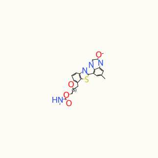 CNC(=O)OC[C@@H]1Cc2c(ccc3nc(-c4cc(C)cc5nc(OC)cnc45)sc23)O1